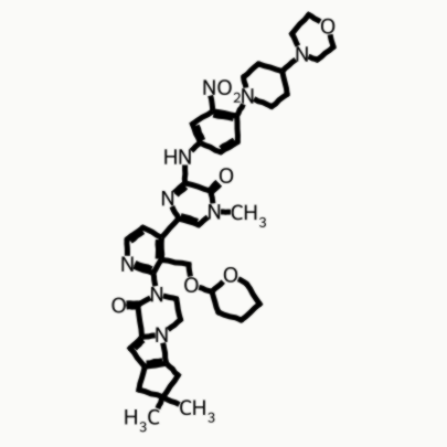 Cn1cc(-c2ccnc(N3CCn4c(cc5c4CC(C)(C)C5)C3=O)c2COC2CCCCO2)nc(Nc2ccc(N3CCC(N4CCOCC4)CC3)c([N+](=O)[O-])c2)c1=O